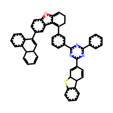 C1=CC2C=C(c3ccc4oc5c(c4c3)=C(c3cccc(-c4nc(C6=CC7Sc8ccccc8C7C=C6)nc(-c6ccccc6)n4)c3)CCC=5)c3ccccc3C2C=C1